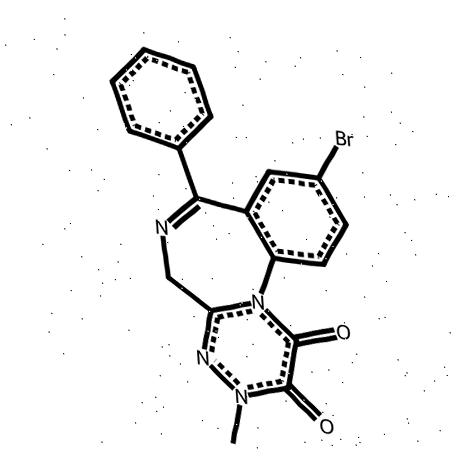 Cn1nc2n(c(=O)c1=O)-c1ccc(Br)cc1C(c1ccccc1)=NC2